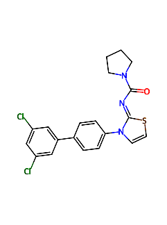 O=C(N=c1sccn1-c1ccc(-c2cc(Cl)cc(Cl)c2)cc1)N1CCCC1